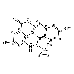 O=c1[nH]nc2c3c(cc(F)cc13)N[C@@H](C1(F)CC1)[C@@H]2c1ccc(Cl)cc1F